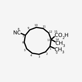 CC1CCCCCC(C#N)CCCCC1(C)C(=O)O